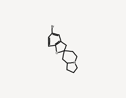 Brc1ccc2c(c1)CC1(CCN3CCCC3C1)O2